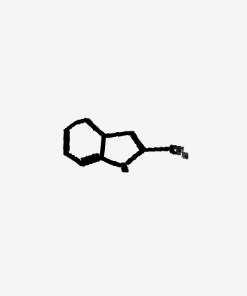 FC(F)(F)C1CC2CC=CC=C2S1